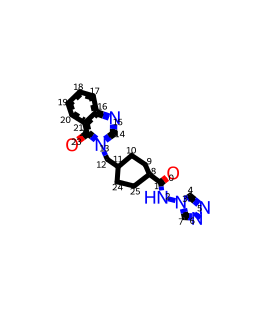 O=C(Nn1cnnc1)C1CCC(Cn2cnc3ccccc3c2=O)CC1